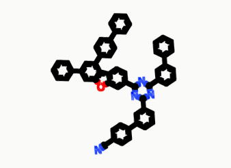 N#Cc1ccc(-c2cccc(-c3nc(-c4cccc(-c5ccccc5)c4)nc(-c4ccc5c(c4)oc4cc(-c6ccccc6)cc(-c6ccc(-c7ccccc7)cc6)c45)n3)c2)cc1